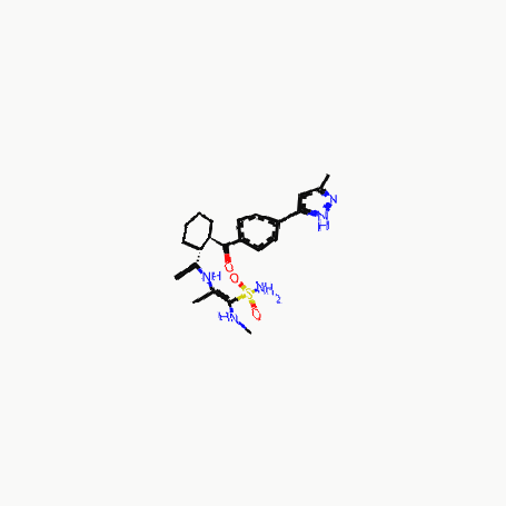 C=C(N/C(C)=C(/NC)S(N)(=O)=O)[C@@H]1CCCC[C@H]1C(=O)c1ccc(-c2cc(C)n[nH]2)cc1